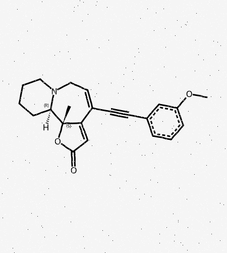 COc1cccc(C#CC2=CCN3CCCC[C@@H]3[C@@]3(C)OC(=O)C=C23)c1